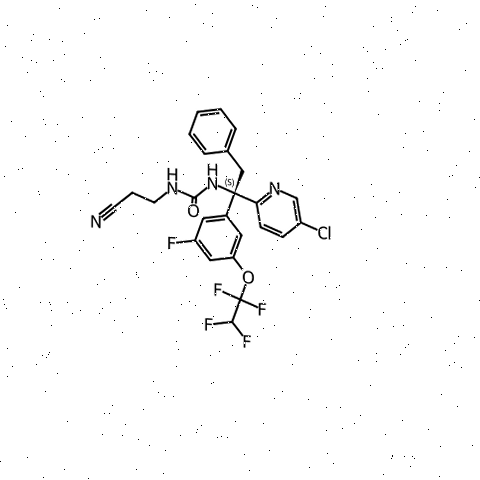 N#CCCNC(=O)N[C@@](Cc1ccccc1)(c1cc(F)cc(OC(F)(F)C(F)F)c1)c1ccc(Cl)cn1